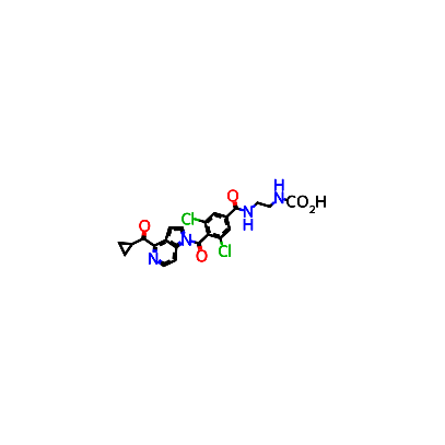 O=C(O)NCCNC(=O)c1cc(Cl)c(C(=O)n2ccc3c(C(=O)C4CC4)nccc32)c(Cl)c1